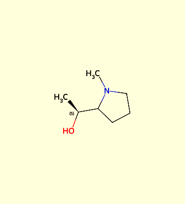 C[C@H](O)C1CCCN1C